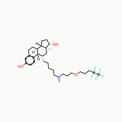 CN(CCCCC[C@H]1C[C@]2(C)[C@@H](O)CC[C@H]2[C@@H]2CCc3cc(O)ccc3[C@@H]12)CCCOCCCC(F)(F)C(F)(F)F